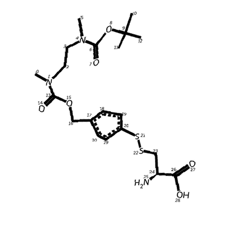 CN(CCN(C)C(=O)OC(C)(C)C)C(=O)OCc1ccc(SSC[C@H](N)C(=O)O)cc1